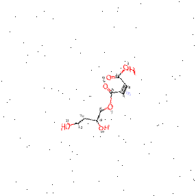 O=C(O)/C=C\C(=O)OCC(O)CCO